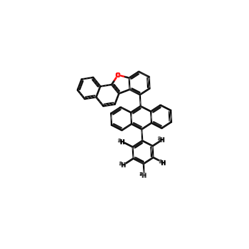 [2H]c1c([2H])c([2H])c(-c2c3ccccc3c(-c3cccc4oc5c6ccccc6ccc5c34)c3ccccc23)c([2H])c1[2H]